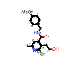 COc1ccc(CNC(=O)c2cc(C)nc(Br)c2CCO)cc1